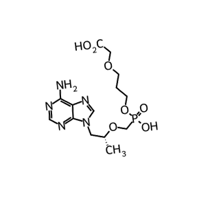 C[C@H](Cn1cnc2c(N)ncnc21)OCP(=O)(O)OCCCOCC(=O)O